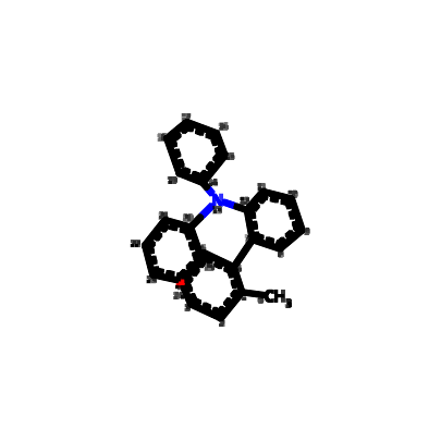 Cc1ccccc1-c1ccccc1N(c1ccccc1)c1ccccc1